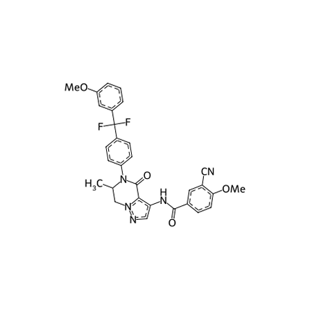 COc1cccc(C(F)(F)c2ccc(N3C(=O)c4c(NC(=O)c5ccc(OC)c(C#N)c5)cnn4CC3C)cc2)c1